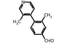 Cc1cnccc1-c1ccc(C=O)cc1C